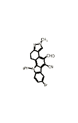 CC(C)n1c2ccc(Br)cc2c2c(C#N)c(C=O)c3c(c21)CCc1nn(C)cc1-3